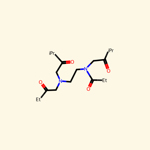 CCC(=O)CN(CCN(CC(=O)C(C)C)C(=O)CC)CC(=O)C(C)C